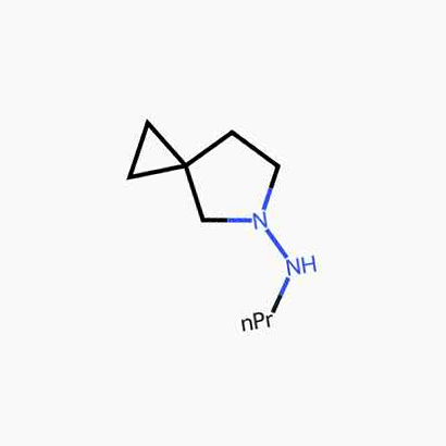 CCCNN1CCC2(CC2)C1